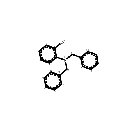 [O]c1ccccc1N(Cc1ccccc1)Cc1ccccc1